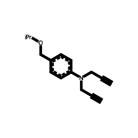 C#CCN(CC#C)c1ccc(COC(C)C)cc1